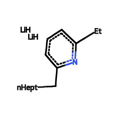 CCCCCCCCc1cccc(CC)n1.[LiH].[LiH]